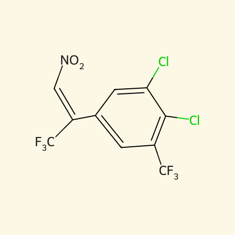 O=[N+]([O-])/C=C(\c1cc(Cl)c(Cl)c(C(F)(F)F)c1)C(F)(F)F